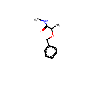 CNC(=O)C(C)OCc1ccccc1